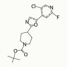 CC(C)(C)OC(=O)N1CCC(c2ncc(-c3cc(F)ncc3Cl)o2)CC1